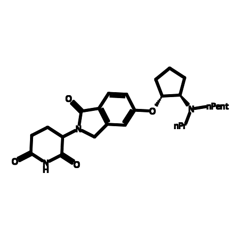 CCCCCN(CCC)[C@@H]1CCC[C@H]1Oc1ccc2c(c1)CN(C1CCC(=O)NC1=O)C2=O